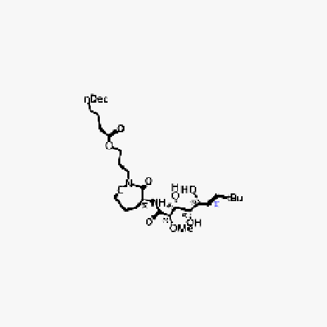 CCCCCCCCCCCCCC(=O)OCCCN1CCCC[C@H](NC(=O)[C@H](OC)[C@H](O)[C@@H](O)[C@H](O)/C=C/C(C)(C)C)C1=O